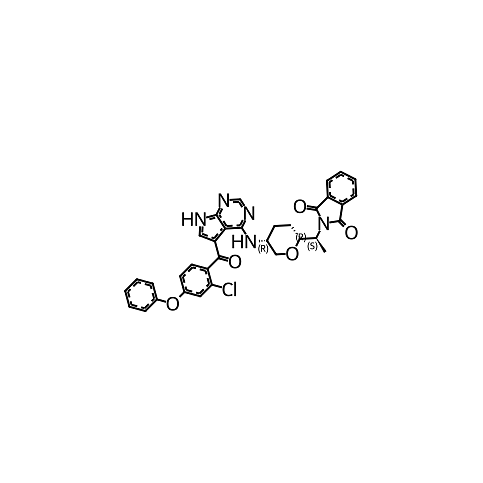 C[C@@H]([C@H]1CC[C@@H](Nc2ncnc3[nH]cc(C(=O)c4ccc(Oc5ccccc5)cc4Cl)c23)CO1)N1C(=O)c2ccccc2C1=O